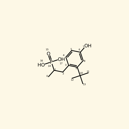 CC(Cc1ccc(O)cc1C(C)(C)C)P(=O)(O)O